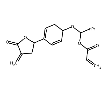 C=CC(=O)OC(CCC)OC1C=CC(C2CC(=C)C(=O)O2)=CC1